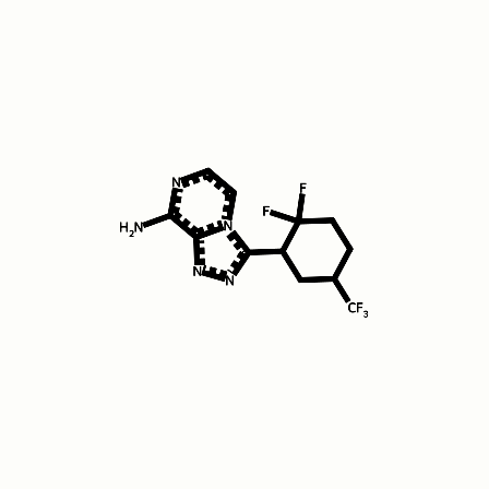 Nc1nccn2c(C3CC(C(F)(F)F)CCC3(F)F)nnc12